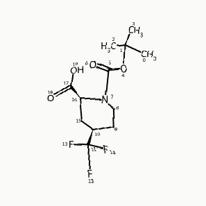 CC(C)(C)OC(=O)N1CC[C@@H](C(F)(F)F)C[C@H]1C(=O)O